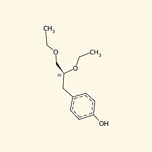 CCOC[C@H](Cc1ccc(O)cc1)OCC